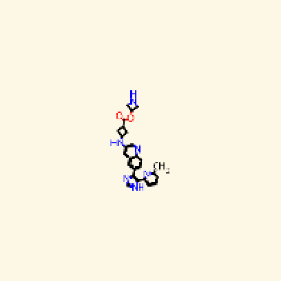 Cc1cccc(-c2[nH]cnc2-c2ccc3ncc(NC4CC(C(=O)OC5CNC5)C4)cc3c2)n1